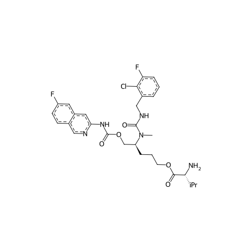 CC(C)[C@@H](N)C(=O)OCCC[C@@H](COC(=O)Nc1cc2cc(F)ccc2cn1)N(C)C(=O)NCc1cccc(F)c1Cl